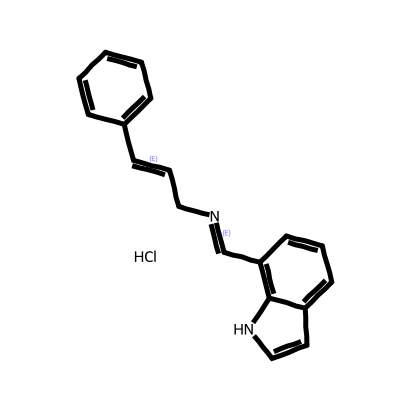 C(=C\c1ccccc1)/C/N=C/c1cccc2cc[nH]c12.Cl